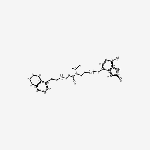 CC(C)N(CCNCCc1ccc(O)c2[nH]c(=O)sc12)C(=O)CCNCCc1cccc2c1CCCC2